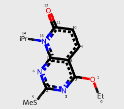 CCOc1nc(SC)nc2c1ccc(=O)n2C(C)C